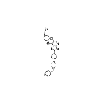 Clc1cnc2[nH]c(-c3ccc(N4CCN(Cc5ccncc5)CC4)cc3)nc2c1NC1CCN(CC2CC2)CC1